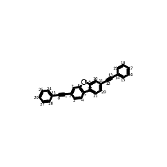 C(#Cc1ccc2c(c1)oc1cc(C#Cc3ccccc3)ccc12)c1ccccc1